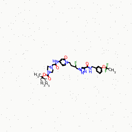 CC(C)(C)OC(=O)N1CCN(CC(=O)Nc2ccn(CCC(F)Cn3cc(C(=O)NCc4cccc(OC(C)(F)F)c4)nn3)c(=O)c2)CC1